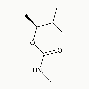 CNC(=O)O[C@@H](C)C(C)C